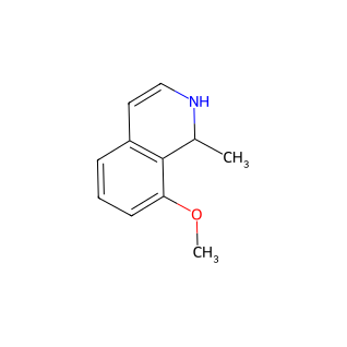 COc1cccc2c1C(C)NC=C2